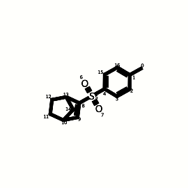 Cc1ccc(S(=O)(=O)C2=CC3CCC2C3)cc1